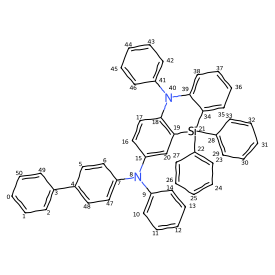 c1ccc(-c2ccc(N(c3ccccc3)c3ccc4c(c3)[Si](c3ccccc3)(c3ccccc3)c3ccccc3N4c3ccccc3)cc2)cc1